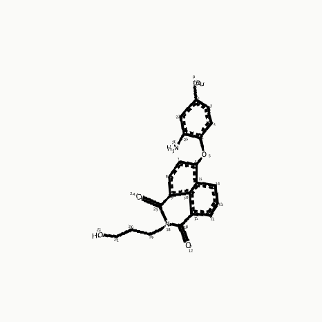 CC(C)(C)c1ccc(Oc2ccc3c4c(cccc24)C(=O)N(CCCO)C3=O)c(N)c1